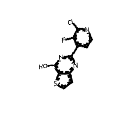 Oc1nc(-c2ccnc(Cl)c2F)nc2ccsc12